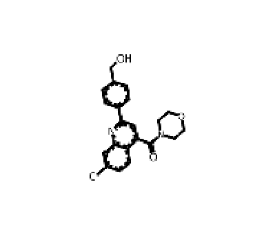 O=C(c1cc(-c2ccc(CO)cc2)nc2cc(Cl)ccc12)N1CCOCC1